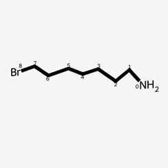 NCCCCCCCBr